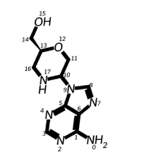 Nc1ncnc2c1ncn2C1CO[C@H](CO)CN1